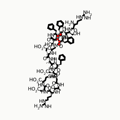 CSCC[C@H](NC(=O)[C@H](CC(=O)O)NC(=O)[C@H](CCCNC(=N)N)NC(=O)[C@H](C)NC(=O)CNC(=O)[C@H](CC(=O)O)NC(=O)[C@H](Cc1ccccc1)NC(=O)[C@H](C)NC(=O)[C@H](CCC(=O)O)NC(=O)CNC(=O)[C@H](CC(C)C)NC(=O)[C@H](Cc1ccccc1)NC(=O)[C@H](CO)NC(=O)[C@H](Cc1ccccc1)NC(=O)[C@H](Cc1ccccc1)NC(=O)[C@H](CO)NC(=O)[C@@H](N)CCCNC(=N)N)C(=O)O